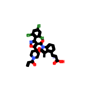 C=CC(=O)N1CCC(O)(c2onc(-c3c(Cl)cc(Cl)cc3Cl)c2C(=O)n2cc(C)c3c(/C=C/C(=O)O)cccc32)CC1